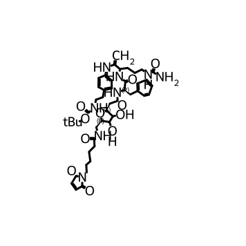 C=C(Nc1ccc(CCNC(=O)OC(C)(C)C)cc1)C(CCCNC(N)=O)NC(=O)[C@@H](Cc1ccccc1)NC(=O)C[C@@H]1O[C@H](CNC(=O)CCCCCN2C(=O)C=CC2=O)C(O)C1O